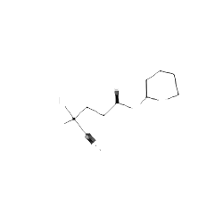 CC(P)(C#N)CCC(=O)OC1CCCCO1